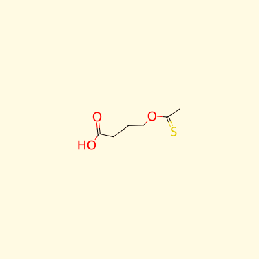 CC(=S)OCCCC(=O)O